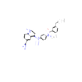 CCc1cccc(C(=O)N(C)c2ccc(Nc3ccnc4ccc(C#N)cc34)cc2)c1